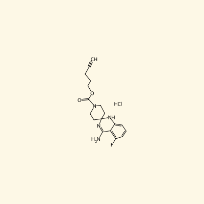 C#CCCCOC(=O)N1CCC2(CC1)N=C(N)c1c(F)cccc1N2.Cl